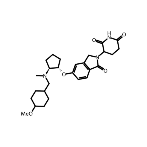 COC1CCC(CN(C)[C@H]2CCC[C@@H]2Oc2ccc3c(c2)CN(C2CCC(=O)NC2=O)C3=O)CC1